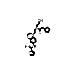 N=C(Nc1ccc2c(c1)SCCN2CCN(CCO)C(=O)CC1CCCC1)c1cccs1